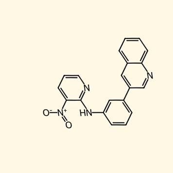 O=[N+]([O-])c1cccnc1Nc1cccc(-c2cnc3ccccc3c2)c1